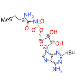 CCCCc1nc(N)c2ncn([C@H]3O[C@H](COS(=O)(=O)NC(=O)[C@@H](N)CCSC)[C@@H](O)[C@@H]3O)c2n1